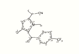 CC(C#N)c1cc(Cl)c(C(=O)c2ccc(C(F)(F)F)cc2)n1C